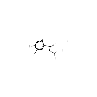 CC(C)(C)[S@@+]([O-])N[C@@](C)(C[C@@H](O)C(F)(F)F)c1cc(Br)c(F)cc1F